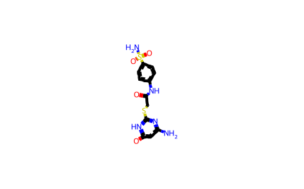 Nc1cc(=O)[nH]c(SCC(=O)Nc2ccc(S(N)(=O)=O)cc2)n1